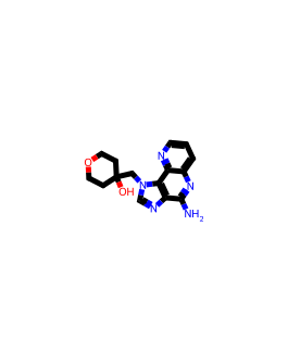 Nc1nc2cccnc2c2c1ncn2CC1(O)CCOCC1